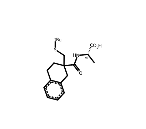 C[C@H](NC(=O)C1(CSC(C)(C)C)CCc2ccccc2C1)C(=O)O